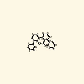 c1ccc(-c2cccc3c2Oc2cc4ccccc4c4cccc-3c24)cc1